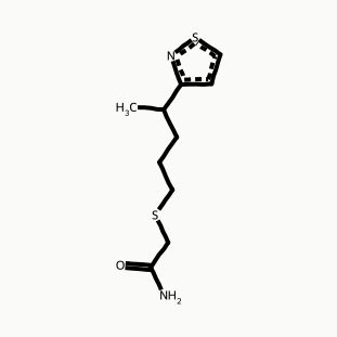 CC(CCCSCC(N)=O)c1ccsn1